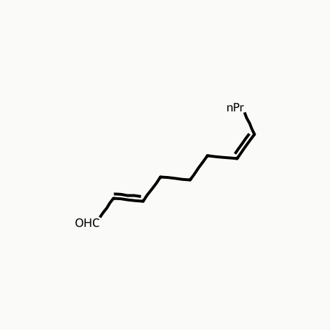 CCC/C=C\CCC/C=C/C=O